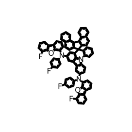 Fc1ccc(N(c2ccc3c(c2)c2cc(N(c4ccc(F)cc4)c4cccc5c4oc4c(F)cccc45)cc4c2n3-c2ccccc2C42c3ccc4ccccc4c3-c3c2ccc2ccccc32)c2cccc3c2oc2c(F)cccc23)cc1